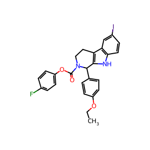 CCOc1ccc(C2c3[nH]c4ccc(I)cc4c3CCN2C(=O)Oc2ccc(F)cc2)cc1